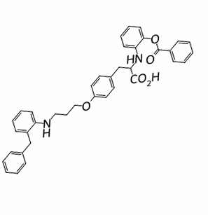 O=C(Oc1ccccc1NC(Cc1ccc(OCCCNc2ccccc2Cc2ccccc2)cc1)C(=O)O)c1ccccc1